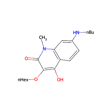 CCCCCCOc1c(O)c2ccc(NCCCC)cc2n(C)c1=O